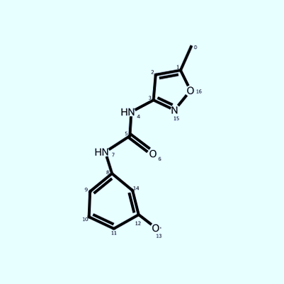 Cc1cc(NC(=O)Nc2cccc([O])c2)no1